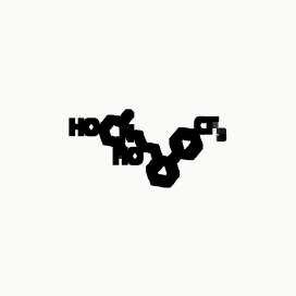 CC1CC(O)CC(C)N1CC(O)Cc1ccccc1-c1ccc(C(F)(F)F)cc1